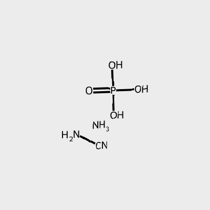 N.N#CN.O=P(O)(O)O